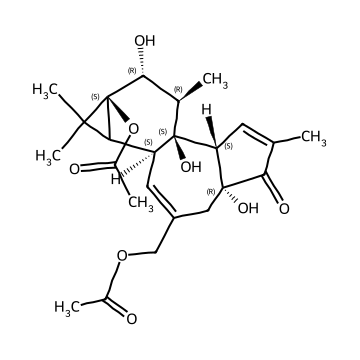 CC(=O)OCC1=C[C@H]2C3C(C)(C)[C@]3(OC(C)=O)[C@H](O)[C@@H](C)[C@]2(O)[C@@H]2C=C(C)C(=O)[C@@]2(O)C1